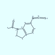 CC(=O)N1CCc2ccc(N=C=S)cc21